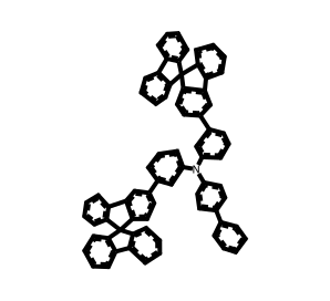 c1ccc(-c2ccc(N(c3cccc(-c4ccc5c(c4)-c4ccccc4C54c5ccccc5-c5ccccc54)c3)c3cccc(-c4ccc5c(c4)-c4ccccc4C54c5ccccc5-c5ccccc54)c3)cc2)cc1